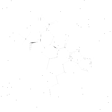 COCCCCn1c(C(=O)N(CC(C)C)[C@H]2C[C@@H](C(=O)C(C)(C)C)CN(C(=O)O)C2)nc2ccccc21